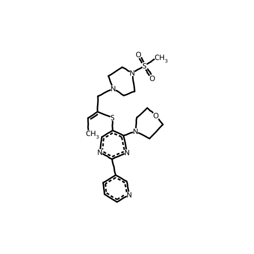 C/C=C(/CN1CCN(S(C)(=O)=O)CC1)Sc1cnc(-c2cccnc2)nc1N1CCOCC1